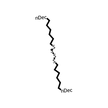 CCCCCCCCCCCCCCCCSSSSCCCCCCCCCCCCCCCC